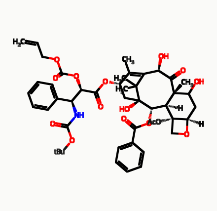 C=CCOC(=O)O[C@@H](C(=O)O[C@H]1C[C@@]2(O)[C@@H](OC(=O)c3ccccc3)[C@@H]3[C@]4(OC(C)=O)CO[C@@H]4CC(O)[C@@]3(C)C(=O)[C@H](O)C(=C1C)C2(C)C)[C@@H](NC(=O)OC(C)(C)C)c1ccccc1